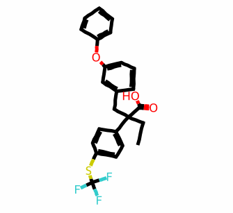 CCC(Cc1cccc(Oc2ccccc2)c1)(C(=O)O)c1ccc(SC(F)(F)F)cc1